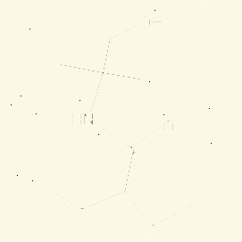 CCC(CC)C(=O)NC(C)(C)CO